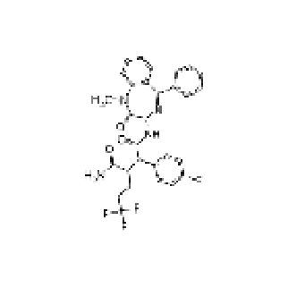 CN1C(=O)[C@@H](NC(=O)[C@@H](c2ccc(F)cc2)[C@@H](CCC(F)(F)F)C(N)=O)N=C(c2ccccc2)c2ccccc21